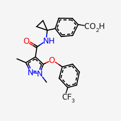 Cc1nn(C)c(Oc2cccc(C(F)(F)F)c2)c1C(=O)NC1(c2ccc(C(=O)O)cc2)CC1